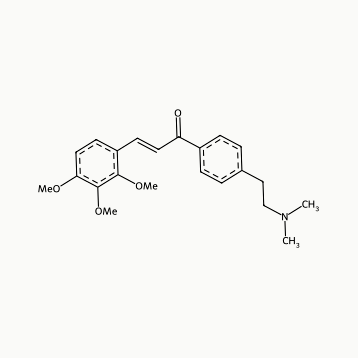 COc1ccc(C=CC(=O)c2ccc(CCN(C)C)cc2)c(OC)c1OC